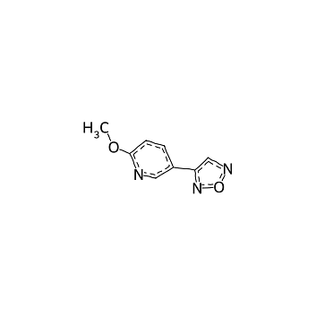 COc1ccc(-c2cnon2)cn1